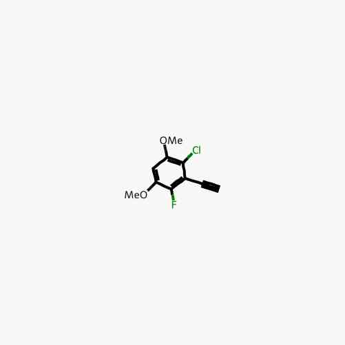 C#Cc1c(F)c(OC)cc(OC)c1Cl